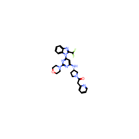 O=C(Cc1ccccn1)N1CC[C@H](Nc2cc(-n3c(C(F)F)nc4ccccc43)nc(N3CCOCC3)n2)C1